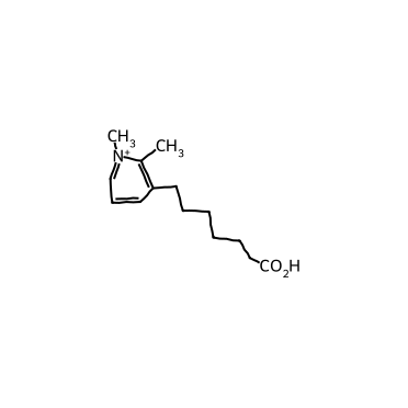 Cc1c(CCCCCCC(=O)O)ccc[n+]1C